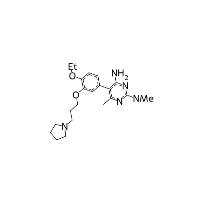 CCOc1ccc(-c2c(C)nc(NC)nc2N)cc1OCCCN1CCCC1